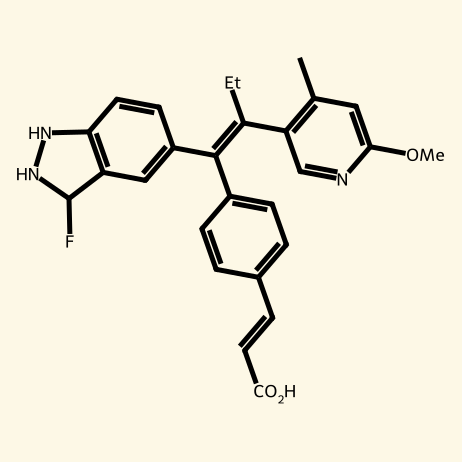 CC/C(=C(/c1ccc(/C=C/C(=O)O)cc1)c1ccc2c(c1)C(F)NN2)c1cnc(OC)cc1C